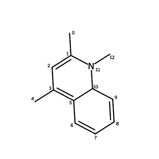 CC1=CC(C)=C2C=CC=CC2N1C